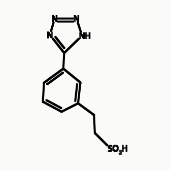 O=S(=O)(O)CCc1cccc(-c2nnn[nH]2)c1